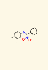 Cc1ccc(N=C(c2ccccc2)[N+](=O)[O-])cc1C